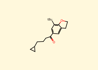 CC(C)(C)c1cc(C(=O)CCCC2CC2)cc2c1OCC2